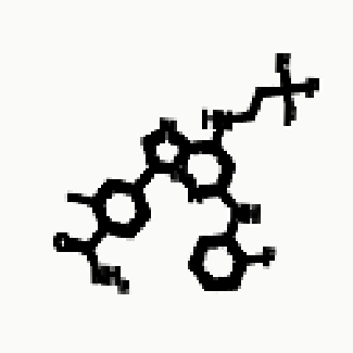 Cc1cc(-c2cnc3c(NCCC(F)(F)F)cc(Nc4ccccc4F)nn23)ccc1C(N)=O